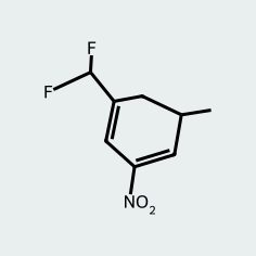 CC1C=C([N+](=O)[O-])C=C(C(F)F)C1